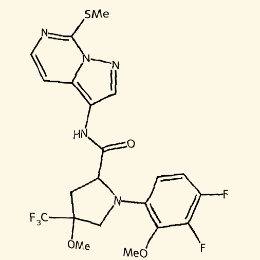 COc1c(N2CC(OC)(C(F)(F)F)CC2C(=O)Nc2cnn3c(SC)nccc23)ccc(F)c1F